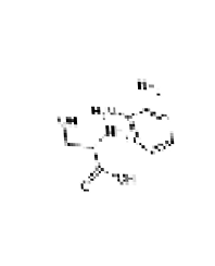 N[C@@H](CO)C(=O)O.Nc1ccccc1N